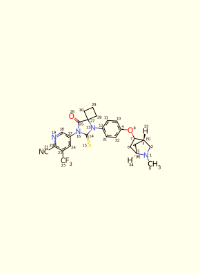 CN1C[C@@H]2C[C@@H]1CC2Oc1ccc(N2C(=S)N(c3cnc(C#N)c(C(F)(F)F)c3)C(=O)C23CCC3)cc1